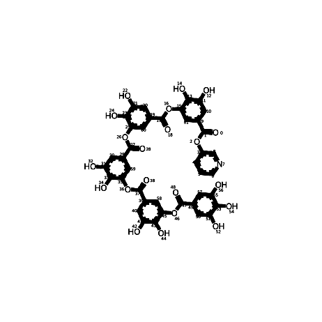 O=C(Oc1cccnc1)c1cc(O)c(O)c(OC(=O)c2cc(O)c(O)c(OC(=O)c3cc(O)c(O)c(OC(=O)c4cc(O)c(O)c(OC(=O)c5cc(O)c(O)c(O)c5)c4)c3)c2)c1